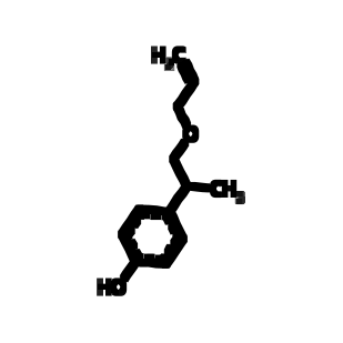 C=CCOCC(C)c1ccc(O)cc1